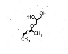 CC=C=C(C)OCC(O)CO